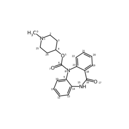 CN1CCC(OC(=O)N2c3ccccc3NC(=O)c3ccccc32)CC1